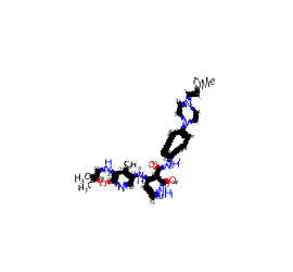 COCCN1CCN(c2ccc(NC(=O)c3c(Nc4cnc5c(c4C)NCC(C)(C)O5)cc[nH]c3=O)cc2)CC1